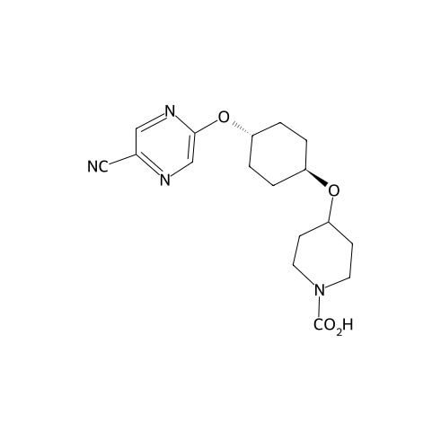 N#Cc1cnc(O[C@H]2CC[C@H](OC3CCN(C(=O)O)CC3)CC2)cn1